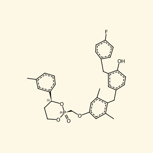 Cc1cccc([C@@H]2CCO[P@](=O)(COc3cc(C)c(Cc4ccc(O)c(Cc5ccc(F)cc5)c4)c(C)c3)O2)c1